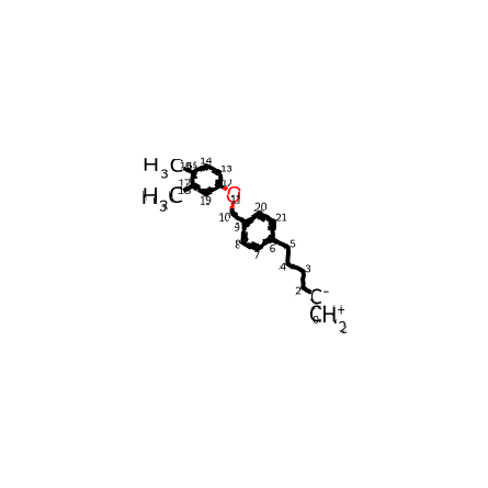 [CH2+][CH-]CCCCc1ccc(COc2ccc(C)c(C)c2)cc1